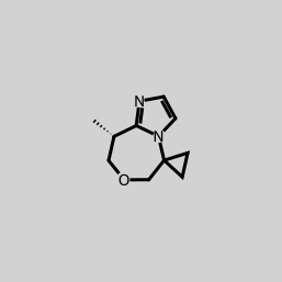 C[C@H]1COCC2(CC2)n2ccnc21